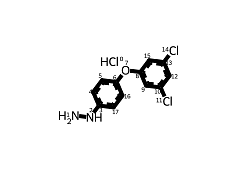 Cl.NNc1ccc(Oc2cc(Cl)cc(Cl)c2)cc1